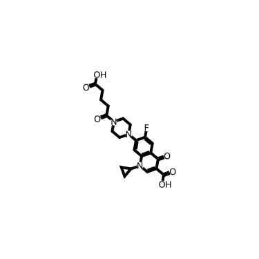 O=C(O)CCCC(=O)N1CCN(c2cc3c(cc2F)c(=O)c(C(=O)O)cn3C2CC2)CC1